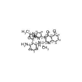 Cc1nnc(-c2c(N)ncnc2N[C@@H](C)c2nc3cccc(Cl)c3c(=O)n2-c2cc[nH]n2)o1